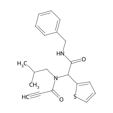 C#CC(=O)N(CC(C)C)C(C(=O)NCc1ccccc1)c1cccs1